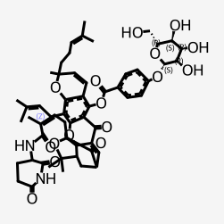 CC(C)=CCCC1(C)C=Cc2c(c(CC=C(C)C)c3c(c2OC(=O)c2ccc(O[C@@H]4O[C@H](CO)[C@@H](O)[C@@H](O)[C@H]4O)cc2)C(=O)C2=CC4CC5C(C)(C)OC(C/C=C(/C)C(=O)NC6CCC(=O)NC6=O)(C4=O)C25O3)O1